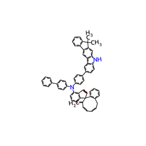 C=C1/C=C\C=C/Cc2ccccc2C12c1ccccc1-c1c(N(c3ccc(-c4ccccc4)cc3)c3ccc(-c4ccc5[nH]c6cc7c(cc6c5c4)-c4ccccc4C7(C)C)cc3)cccc12